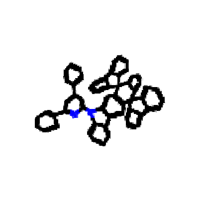 c1ccc(-c2cc(-c3ccccc3)nc(-n3c4ccccc4c4cc5c(cc43)C3(c4ccccc4-c4ccccc43)c3ccccc3C53c4ccccc4-c4ccccc43)c2)cc1